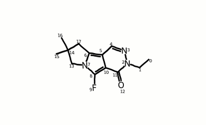 CCn1ncc2c3n(c(F)c2c1=O)CC(C)(C)C3